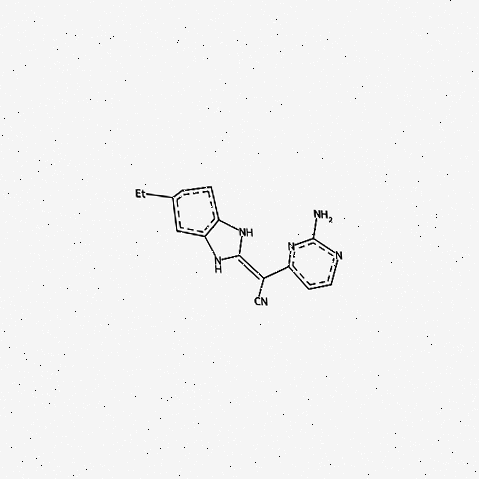 CCc1ccc2c(c1)N/C(=C(\C#N)c1ccnc(N)n1)N2